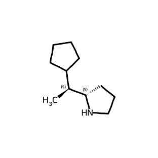 C[C@@H](C1CCCC1)[C@@H]1CCCN1